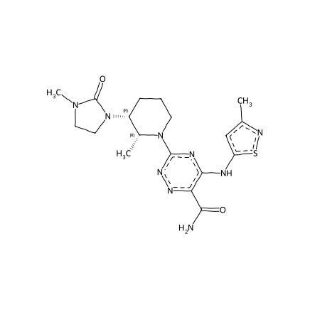 Cc1cc(Nc2nc(N3CCC[C@@H](N4CCN(C)C4=O)[C@H]3C)nnc2C(N)=O)sn1